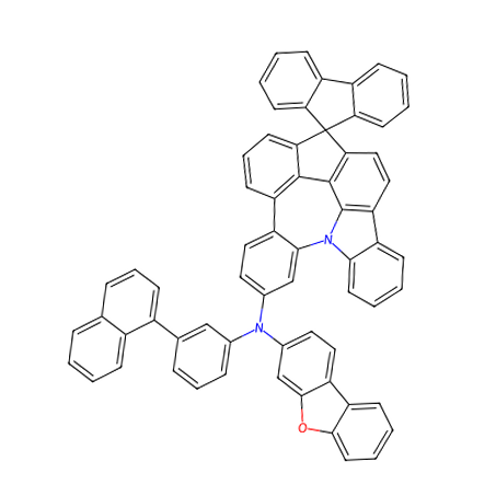 c1cc(-c2cccc3ccccc23)cc(N(c2ccc3c(c2)-n2c4ccccc4c4ccc5c(c42)-c2c-3cccc2C52c3ccccc3-c3ccccc32)c2ccc3c(c2)oc2ccccc23)c1